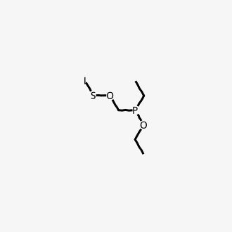 CCOP(CC)COSI